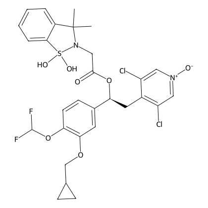 CC1(C)c2ccccc2S(O)(O)N1CC(=O)O[C@@H](Cc1c(Cl)c[n+]([O-])cc1Cl)c1ccc(OC(F)F)c(OCC2CC2)c1